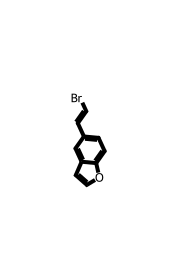 BrC=Cc1ccc2occc2c1